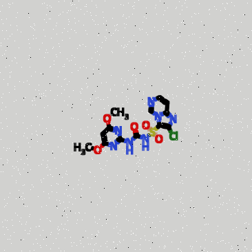 COc1cc(OC)nc(NC(=O)NS(=O)(=O)c2c(Cl)nc3ccncn23)n1